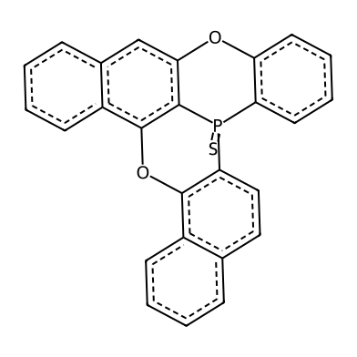 S=P12c3ccccc3Oc3cc4ccccc4c(c31)Oc1c2ccc2ccccc12